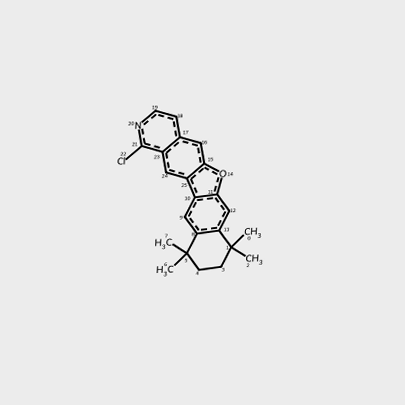 CC1(C)CCC(C)(C)c2cc3c(cc21)oc1cc2ccnc(Cl)c2cc13